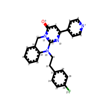 O=c1cc(-c2ccncc2)nc2n1Cc1ccccc1N2CCc1ccc(F)cc1